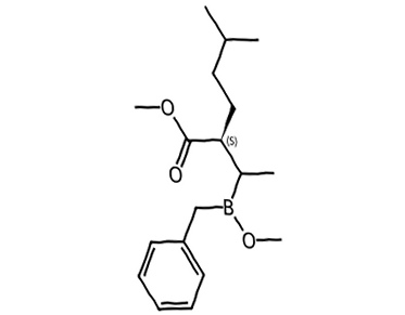 COB(Cc1ccccc1)C(C)[C@H](CCC(C)C)C(=O)OC